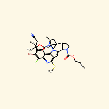 CCCOC(=O)N1CCC[C@@H]1c1cc2c(SC)nc3c(F)c(Br)c(CCC#N)cc3c2n1[C@H]1[C@@H]2C[C@H]1N(C(=O)OC(C)(C)C)C2